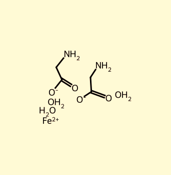 NCC(=O)[O-].NCC(=O)[O-].O.O.O.[Fe+2]